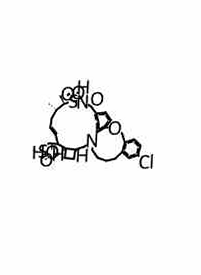 C[C@@H]1[C@@H](C)C/C=C/[C@@](O)(C[S@@+](C)[O-])[C@@H]2CC[C@H]2CN2CCCCc3cc(Cl)ccc3COc3ccc(cc32)C(=O)NS1(=O)=O